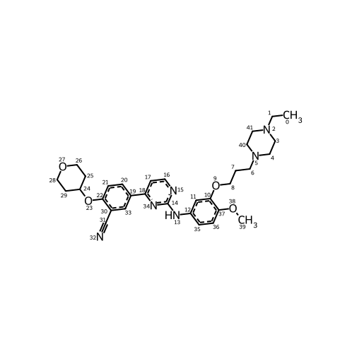 CCN1CCN(CCCOc2cc(Nc3nccc(-c4ccc(OC5CCOCC5)c(C#N)c4)n3)ccc2OC)CC1